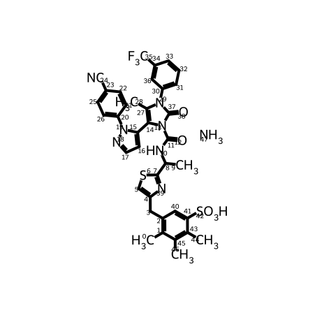 Cc1c(Cc2csc(C(C)NC(=O)n3c(-c4ccnn4-c4ccc(C#N)cc4)c(C)n(-c4cccc(C(F)(F)F)c4)c3=O)n2)cc(S(=O)(=O)O)c(C)c1C.N